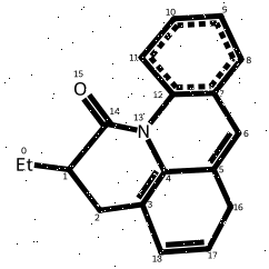 CCC1CC2=C3C(=Cc4ccccc4N3C1=O)CC=C2